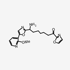 COc1ncccc1-c1cnc(C(N)CCCCCC(=O)c2ncco2)o1